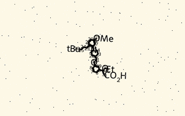 CCOC(CC(=O)O)c1cccc(OCC2CCN(c3cc(OC)ccc3CCCC(C)(C)C)CC2)c1